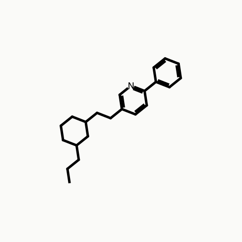 CCCC1CCCC(CCc2ccc(-c3ccccc3)nc2)C1